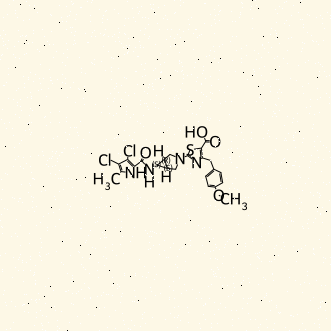 COc1ccc(Cc2nc(N3C[C@@H]4[C@H](C3)[C@H]4NC(=O)c3[nH]c(C)c(Cl)c3Cl)sc2C(=O)O)cc1